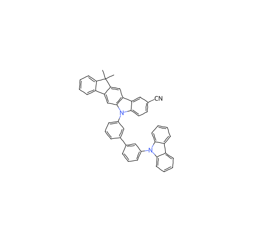 CC1(C)c2ccccc2-c2cc3c(cc21)c1cc(C#N)ccc1n3-c1cccc(-c2cccc(-n3c4ccccc4c4ccccc43)c2)c1